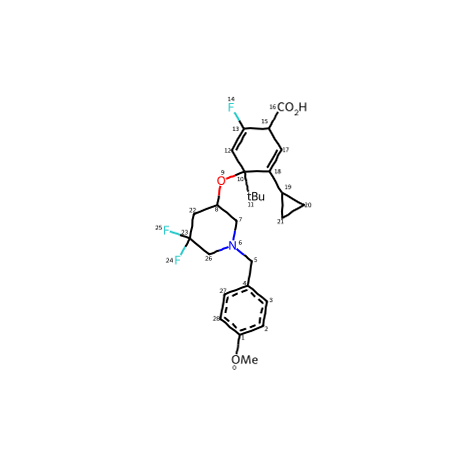 COc1ccc(CN2CC(OC3(C(C)(C)C)C=C(F)C(C(=O)O)C=C3C3CC3)CC(F)(F)C2)cc1